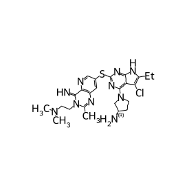 CCc1[nH]c2nc(Sc3cnc4c(=N)n(CCN(C)C)c(C)nc4c3)nc(N3CC[C@@H](N)C3)c2c1Cl